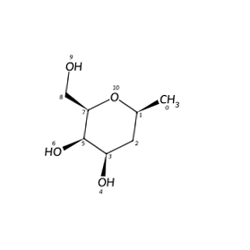 C[C@H]1C[C@@H](O)[C@@H](O)[C@@H](CO)O1